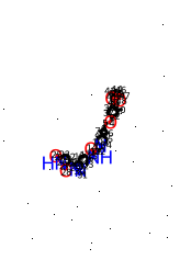 Cc1cc(OCC2CC3(CCN(CC(=O)Nc4ccc5c(C6CCC(=O)NC6=O)nn(C)c5c4)CC3)C2)ccc1B1OC(C)(C)C(C)(C)O1